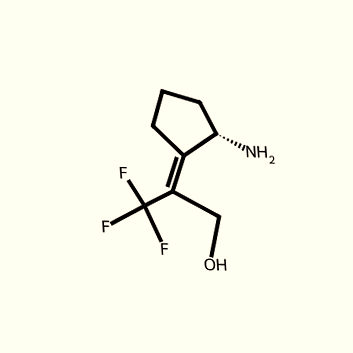 N[C@H]1CCC/C1=C(/CO)C(F)(F)F